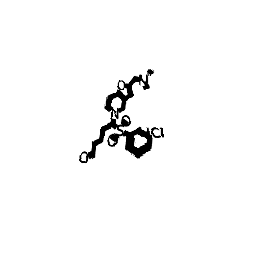 CN(C)Cc1cc2c(o1)CCN(C(CCCC=O)S(=O)(=O)c1ccccc1)C2.Cl